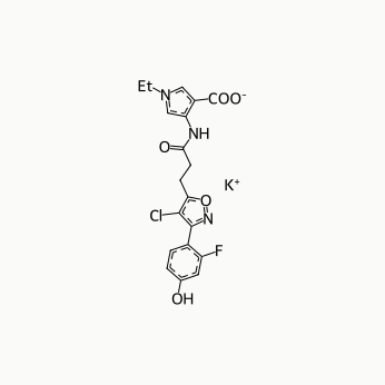 CCn1cc(NC(=O)CCc2onc(-c3ccc(O)cc3F)c2Cl)c(C(=O)[O-])c1.[K+]